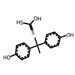 CC(C)(c1ccc(O)cc1)c1ccc(O)cc1.OC(=S)S